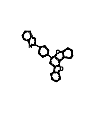 c1ccc2c(c1)oc1c2cc(-c2ccc(-c3cn4ccccc4n3)cc2)c2oc3ccccc3c21